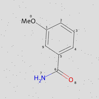 COc1c[c]cc(C(N)=O)c1